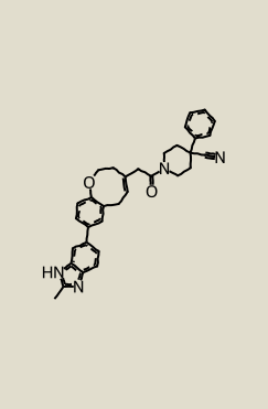 Cc1nc2ccc(-c3ccc4c(c3)C/C=C(/CC(=O)N3CCC(C#N)(c5ccccc5)CC3)CCO4)cc2[nH]1